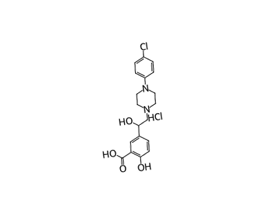 Cl.O=C(O)c1cc(C(O)CN2CCN(c3ccc(Cl)cc3)CC2)ccc1O